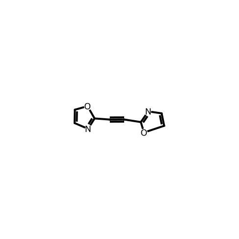 C(#Cc1ncco1)c1ncco1